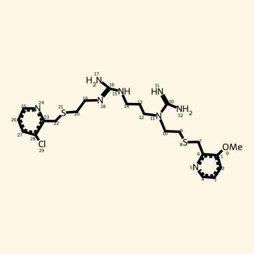 COc1cccnc1CSCCN(CCCNC(N)=NCCSCc1ncccc1Cl)C(=N)N